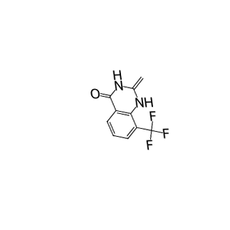 C=C1NC(=O)c2cccc(C(F)(F)F)c2N1